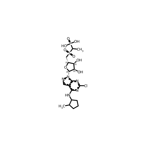 CC1CCCC1Nc1nc(Cl)nc2c1cnn2[C@@H]1O[C@H](CS(=O)(=O)C(C)P(=O)(O)O)[C@@H](O)[C@H]1O